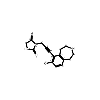 O=C1CNC(=O)N1CC#Cc1c(Cl)ccc2c1CCNCC2